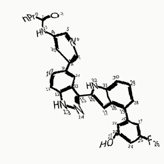 CCCC(=O)Nc1cncc(-c2ccc3[nH]nc(-c4cc5c(-c6cc(O)cc(F)c6)cccc5[nH]4)c3c2)c1